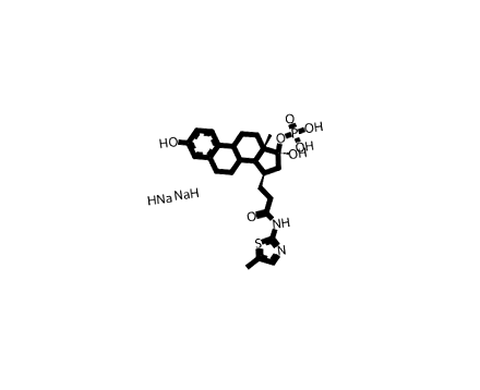 Cc1cnc(NC(=O)CC[C@@H]2C[C@](O)(OP(=O)(O)O)[C@@]3(C)CCC4c5ccc(O)cc5CCC4C23)s1.[NaH].[NaH]